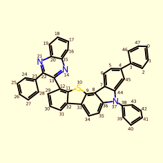 c1ccc(-c2ccc3c4c5sc6c(-c7nc8ccccc8nc7-c7ccccc7)cccc6c5ccc4n(-c4ccccc4)c3c2)cc1